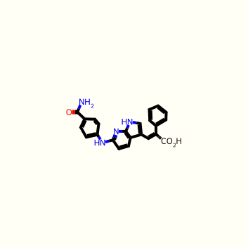 NC(=O)c1ccc(Nc2ccc3c(C=C(C(=O)O)c4ccccc4)c[nH]c3n2)cc1